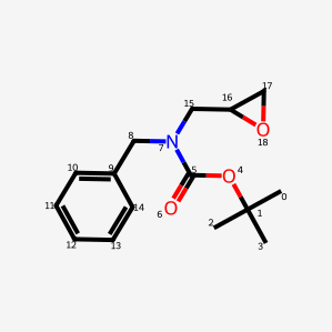 CC(C)(C)OC(=O)N(Cc1ccccc1)CC1CO1